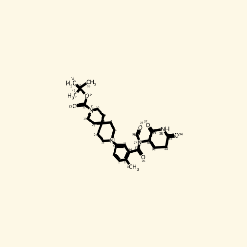 Cc1ccc(N2CCC3(CCN(C(=O)OC(C)(C)C)CC3)CC2)cc1C(=O)N(C=O)C1CCC(=O)NC1=O